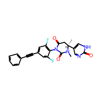 CN1C(=O)N(c2c(F)cc(C#Cc3ccccc3)cc2F)C(=O)C[C@@]1(C)c1cnc(=O)[nH]c1